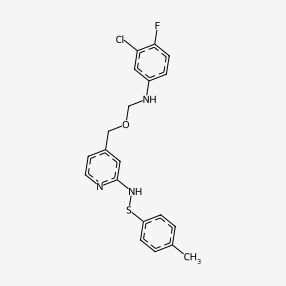 Cc1ccc(SNc2cc(COCNc3ccc(F)c(Cl)c3)ccn2)cc1